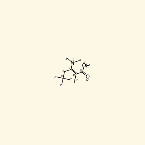 CN(C)C(CC(C)(C)C)=C(I)C(=O)O